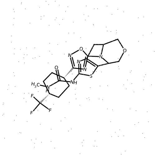 CNC(=O)Nc1nc2c(s1)C1COCC(C2)N1c1nc([C@H]2CC[C@@H](C(F)(F)F)CC2)no1